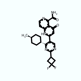 C[C@H]1CC[C@H](c2nc(C3CC(F)(F)C3)ncc2-c2cc(=O)c3c(C(N)=O)nccc3[nH]2)CC1